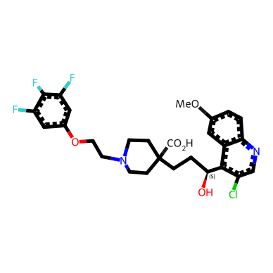 COc1ccc2ncc(Cl)c([C@@H](O)CCC3(C(=O)O)CCN(CCOc4cc(F)c(F)c(F)c4)CC3)c2c1